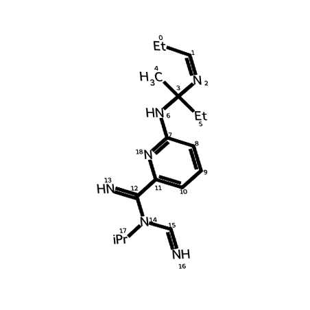 CC/C=N\C(C)(CC)Nc1cccc(C(=N)N(C=N)C(C)C)n1